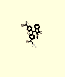 CCN(CC)c1ccc2c(c1)Oc1cc(N(CC)CC(F)(F)F)ccc1C2C1C(=[N+]=[N-])C(=O)c2ccccc21